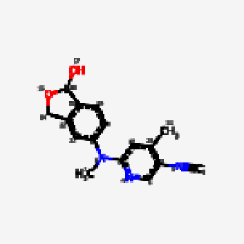 [C-]#[N+]c1cnc(N(C)c2ccc3c(c2)COB3O)cc1C